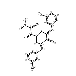 CCN(CC)C(=O)C(=O)C1C/C(=C\c2cccc(O)c2)C(=O)/C(=C/c2cccc(O)c2)C1